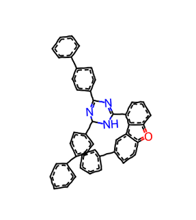 c1ccc(-c2ccc(C3=NC(c4ccc(-c5ccccc5)cc4)NC(c4cccc5oc6ccc(-c7ccccc7)cc6c45)=N3)cc2)cc1